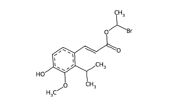 COc1c(O)ccc(C=CC(=O)OC(C)Br)c1C(C)C